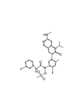 CNc1cc2c(cn1)cc(-c1cc(N(OS(C)(=O)=O)C(=O)Nc3cccc(F)c3)c(F)cc1C)c(=O)n2C(C)C